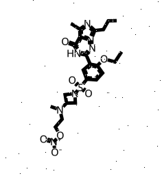 CCCc1nc(C)c2c(=O)[nH]c(-c3cc(S(=O)(=O)N4CC(N(C)CCO[N+](=O)[O-])C4)ccc3OCC)nn12